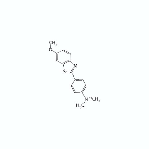 COc1ccc2nc(-c3ccc(N(C)[11CH3])cc3)sc2c1